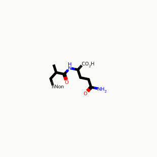 CCCCCCCCCCC(C)C(=O)NC(CCC(N)=O)C(=O)O